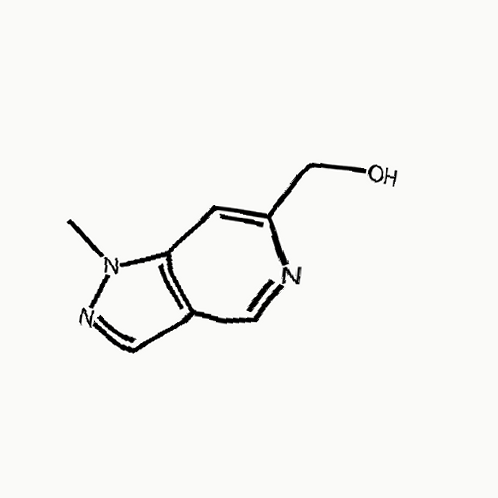 Cn1ncc2cnc(CO)cc21